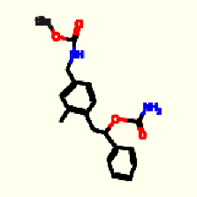 Cc1cc(CNC(=O)OC(C)(C)C)ccc1CC(OC(N)=O)c1ccccc1